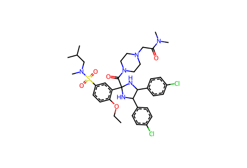 CCOc1ccc(S(=O)(=O)N(C)CC(C)C)cc1C1(C(=O)N2CCN(CC(=O)N(C)C)CC2)NC(c2ccc(Cl)cc2)C(c2ccc(Cl)cc2)N1